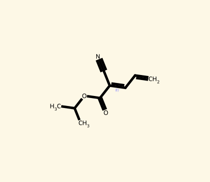 C=C/C=C(\C#N)C(=O)OC(C)C